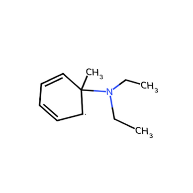 CCN(CC)C1(C)[CH]C=CC=C1